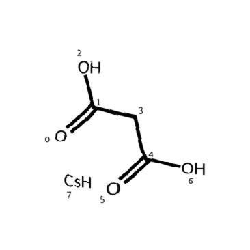 O=C(O)CC(=O)O.[CsH]